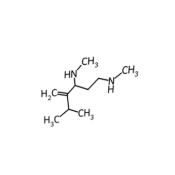 C=C(C(C)C)C(CCNC)NC